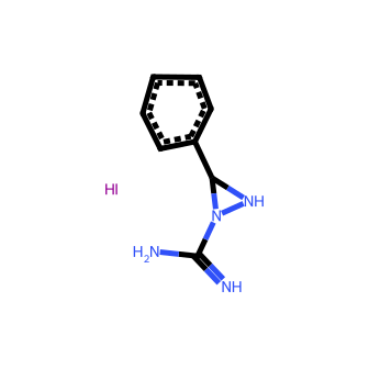 I.N=C(N)N1NC1c1ccccc1